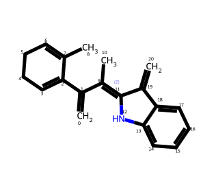 C=C(C1=CCCC=C1C)/C(C)=c1\[nH]c2ccccc2c1=C